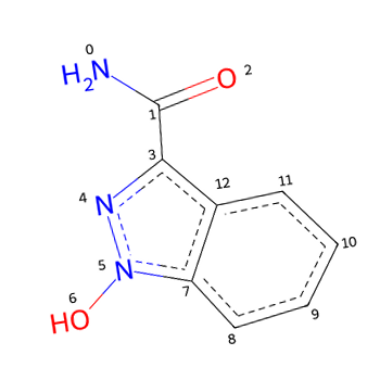 NC(=O)c1nn(O)c2ccccc12